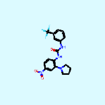 O=C(Nc1cccc(C(F)(F)F)c1)Nc1ccc([N+](=O)[O-])cc1N1CCCC1